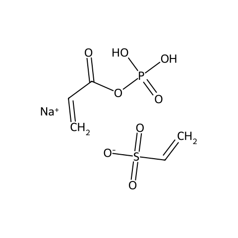 C=CC(=O)OP(=O)(O)O.C=CS(=O)(=O)[O-].[Na+]